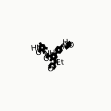 CCN(c1cc(-c2ccc(CN3CC4OC[C@H]43)cc2)cc(C(=O)NCc2c(C)cc(C)[nH]c2=O)c1C)C1CCOCC1